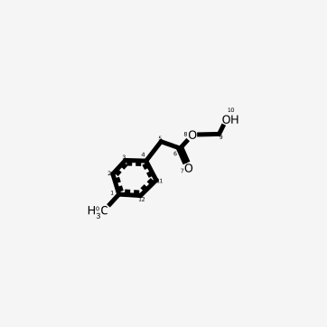 Cc1ccc(CC(=O)OCO)cc1